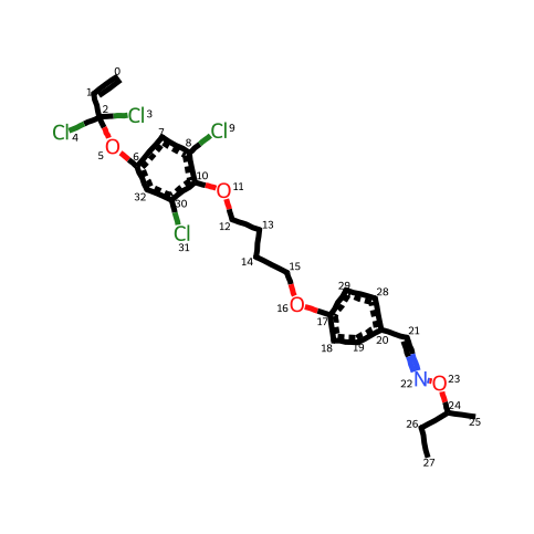 C=CC(Cl)(Cl)Oc1cc(Cl)c(OCCCCOc2ccc(/C=N/OC(C)CC)cc2)c(Cl)c1